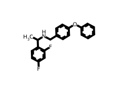 CC(NCc1ccc(Oc2ccccc2)cc1)c1ccc(F)cc1F